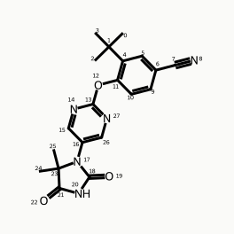 CC(C)(C)c1cc(C#N)ccc1Oc1ncc(N2C(=O)NC(=O)C2(C)C)cn1